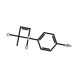 CC(C)(C)c1ccc([N+]2([O-])C=CC2(C)Cl)cc1